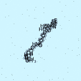 C[C@]12CC[C@@H]3c4ccc(OCCCNC(=O)c5ccc(-c6ccc(OC[C@H]7OC[C@H](Nc8cncc(C(F)(F)F)n8)[C@@H](O)[C@H]7O)cc6)cc5)cc4CC[C@H]3[C@@H]1CC[C@@H]2O